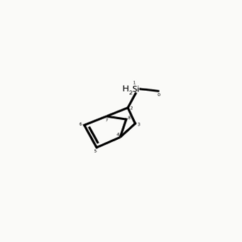 C[SiH2]C1CC2C=CC1C2